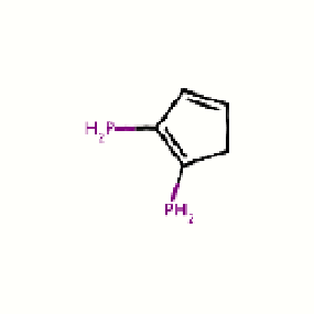 PC1=C(P)CC=C1